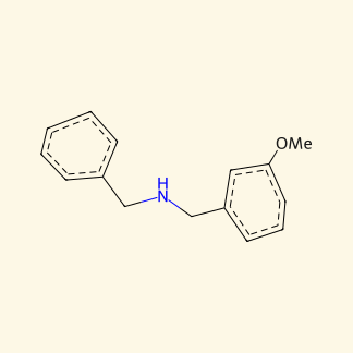 COc1cccc(CNCc2ccccc2)c1